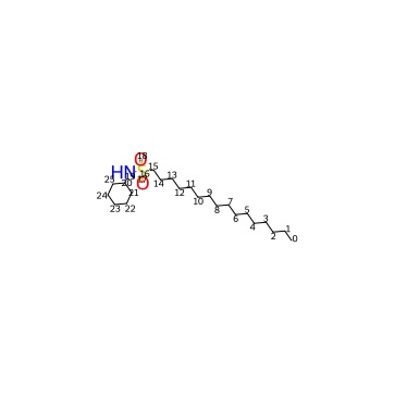 CCCCCCCCCCCCCCCCS(=O)(=O)NC1CCCCC1